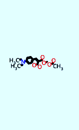 CCN(CC)c1ccc2cc(C(=O)OCOC(C)=O)c(=O)oc2c1